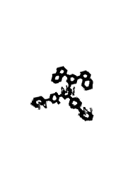 CC1CC(c2ccccn2)=CC=C1c1cc(-c2ccc(-c3ccccn3)cc2)nc(-c2cc(-c3cccc4c3CCC=C4)cc(-c3cccc4ccccc34)c2)n1